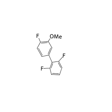 COc1cc(-c2c(F)cccc2F)ccc1F